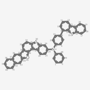 c1ccc(N(c2ccc(-c3cccc4c3sc3ccccc34)cc2)c2ccc3c(c2)sc2ccc4c5cc6ccccc6cc5oc4c23)cc1